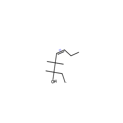 [CH2]CC(C)(O)C(C)(C)/C=C\CC